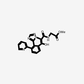 COC(=O)CNC(=O)c1c(O)c2cccc(-c3ccccn3)c2c2ncnn12